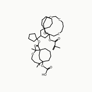 C=C(C)C(=O)OC1(CC(CC2(O)CCCCCC2)C2(OC(=O)C34CCCCC(OC(=O)O)(CC3)C(C)(C)CCOC4(C)C)CCCC2)CCCCCCCCCCCC1